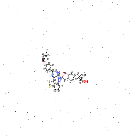 CC(C)(Cc1ccc(CC(=O)Nc2ncc(-c3ccc(O[Si](C)(C)C(C)(C)C)cc3)nc2-c2csc3ccccc23)cc1)[Si](C)(C)O